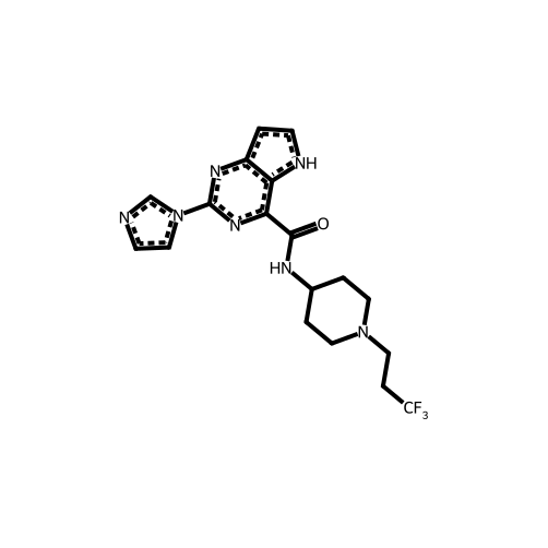 O=C(NC1CCN(CCC(F)(F)F)CC1)c1nc(-n2ccnc2)nc2cc[nH]c12